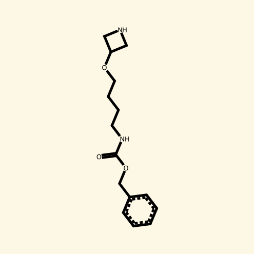 O=C(NCCCCOC1CNC1)OCc1ccccc1